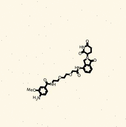 COc1cc(C(=O)NCCOCCOCC(=O)Nc2cccc3c2CN(C2CCC(=O)NC2=O)C3=O)ccc1N